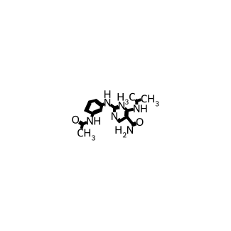 CC(=O)Nc1cccc(Nc2ncc(C(N)=O)c(NC(C)C)n2)c1